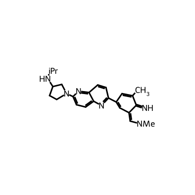 CN/C=C1/C=C(c2ccc3nc(N4CCC(NC(C)C)C4)ccc3n2)C=C(C)C1=N